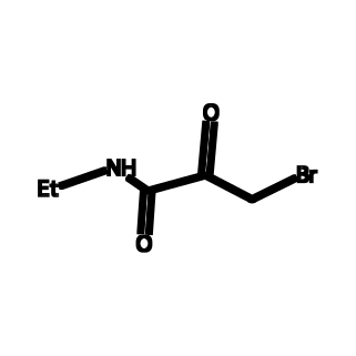 [CH2]CNC(=O)C(=O)CBr